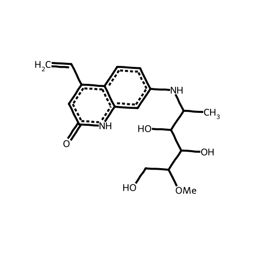 C=Cc1cc(=O)[nH]c2cc(NC(C)C(O)C(O)C(CO)OC)ccc12